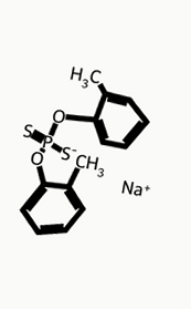 Cc1ccccc1OP(=S)([S-])Oc1ccccc1C.[Na+]